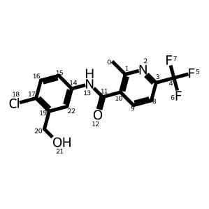 Cc1nc(C(F)(F)F)ccc1C(=O)Nc1ccc(Cl)c(CO)c1